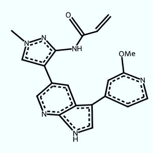 C=CC(=O)Nc1nn(C)cc1-c1cnc2[nH]cc(-c3ccnc(OC)c3)c2c1